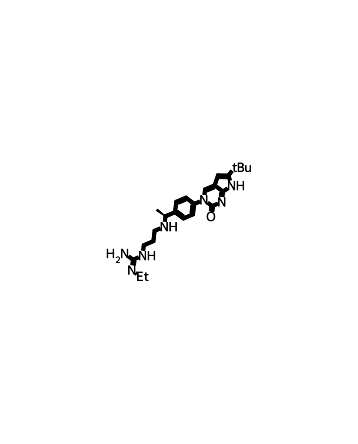 CC/N=C(/N)NCCCN[C@@H](C)c1ccc(-n2cc3cc(C(C)(C)C)[nH]c3nc2=O)cc1